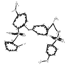 C[C@H](NS(=O)(=O)c1ccc(OC(F)(F)F)cc1)c1ccc(Cc2ccc(OC(F)(F)F)cc2S(=O)(=O)c2ccccc2F)cc1